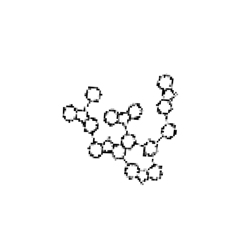 c1ccc(-n2c3ccccc3c3cc(-c4cccc5c4sc4ccc(-c6ccc7oc8cccc(-c9nc(-c%10cccc(-c%11ccc%12c(c%11)oc%11ccccc%11%12)c%10)nc(-c%10cccc(-n%11c%12ccccc%12c%12ccccc%12%11)c%10)n9)c8c7c6)cc45)ccc32)cc1